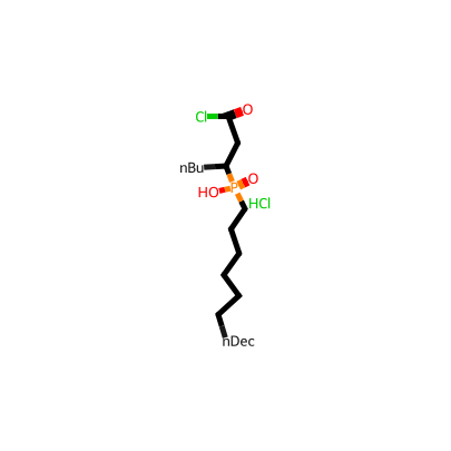 CCCCCCCCCCCCCCCCP(=O)(O)C(CCCC)CC(=O)Cl.Cl